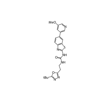 COc1cncc(-c2ccc3nc(NC(=O)NCCc4nnc(C(C)(C)C)o4)sc3c2)c1